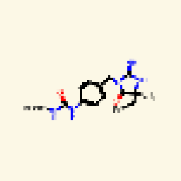 CCCCCNC(=O)Nc1ccc(CN2C(=N)NC(C)(CC(C)C)C2=O)cc1